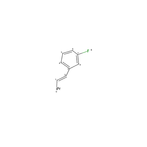 CC(C)C=Cc1cccc(F)c1